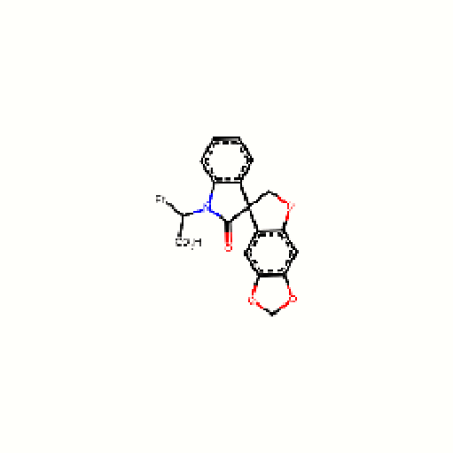 CCC(C(=O)O)N1C(=O)C2(COc3cc4c(cc32)OCO4)c2ccccc21